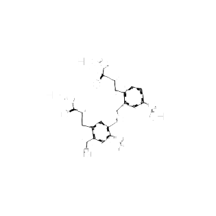 COC(=O)CCc1cc(OCc2cc(OC)ccc2CCC(=O)OC)c(OC)cc1CBr